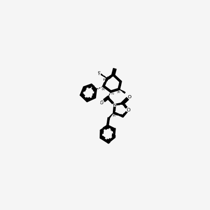 C=C1C[C@@H](C)[C@H](C(=O)N2C(=O)OC[C@H]2Cc2ccccc2)[C@H](c2ccccc2)[C@H]1F